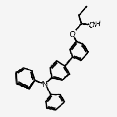 CCC(O)Oc1cccc(-c2ccc(N(c3ccccc3)c3ccccc3)cc2)c1